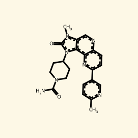 Cc1ccc(-c2ccc3ncc4c(c3n2)n(C2CCN(C(N)=O)CC2)c(=O)n4C)cn1